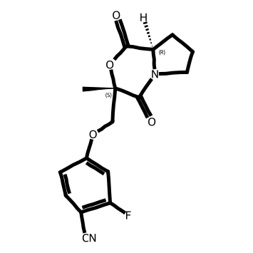 C[C@@]1(COc2ccc(C#N)c(F)c2)OC(=O)[C@H]2CCCN2C1=O